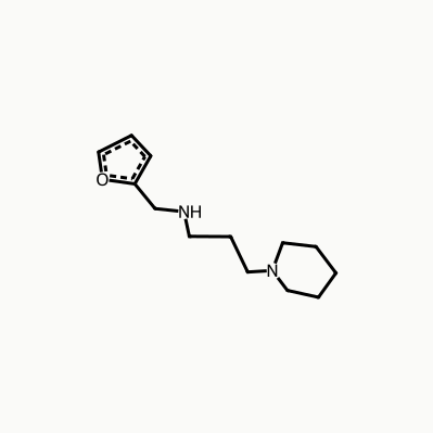 c1coc(CNCCCN2CCCCC2)c1